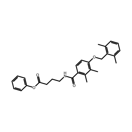 Cc1cccc(C)c1COc1ccc(C(=O)NCCCC(=O)Oc2ccccc2)c(C)c1C